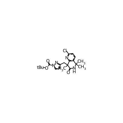 CC(C)(C)OC(=O)n1ccc(CC2(C)C(=O)NC(C)(C)c3ccc(Cl)nc32)n1